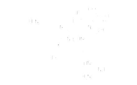 CC(=O)C1(B(O)O)CC(F)(F)CN1C(=O)[C@H](CCCNC(=N)N)NC(=O)[C@H](CC(C)C)NC(=O)[C@@H](N)CCCN